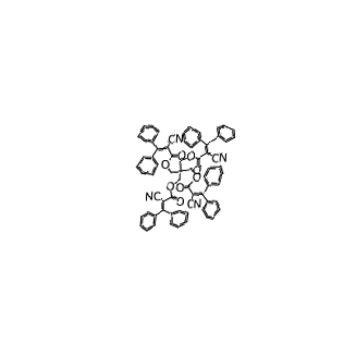 N#CC(C(=O)OCC(COC(=O)C(C#N)=C(c1ccccc1)c1ccccc1)(COC(=O)C(C#N)=C(c1ccccc1)c1ccccc1)COC(=O)C(C#N)=C(c1ccccc1)c1ccccc1)=C(c1ccccc1)c1ccccc1